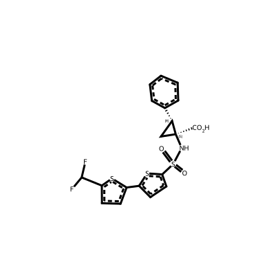 O=C(O)[C@]1(NS(=O)(=O)c2ccc(-c3ccc(C(F)F)s3)s2)C[C@@H]1c1ccccc1